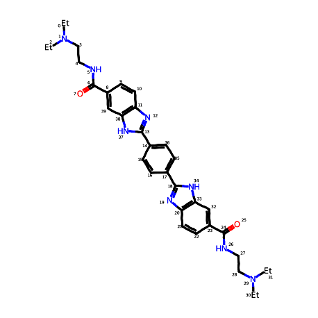 CCN(CC)CCNC(=O)c1ccc2nc(-c3ccc(-c4nc5ccc(C(=O)NCCN(CC)CC)cc5[nH]4)cc3)[nH]c2c1